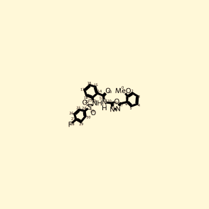 COc1ccccc1-c1nnc(NC(=O)c2ccccc2NS(=O)(=O)c2ccc(F)cc2)o1